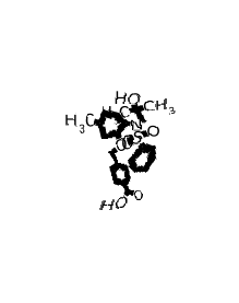 Cc1ccc(N(CC(C)(C)O)S(=O)(=O)c2ccccc2)c(OCc2ccc(C(=O)O)cc2)c1